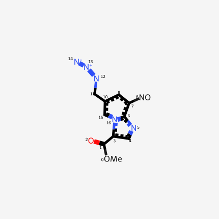 COC(=O)c1cnc2c(N=O)cc(CN=[N+]=[N-])cn12